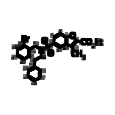 CCOC(=O)c1oc2ccc(S(=O)(=O)N(CCc3ccccc3)Cc3ccccc3Br)cc2c1C